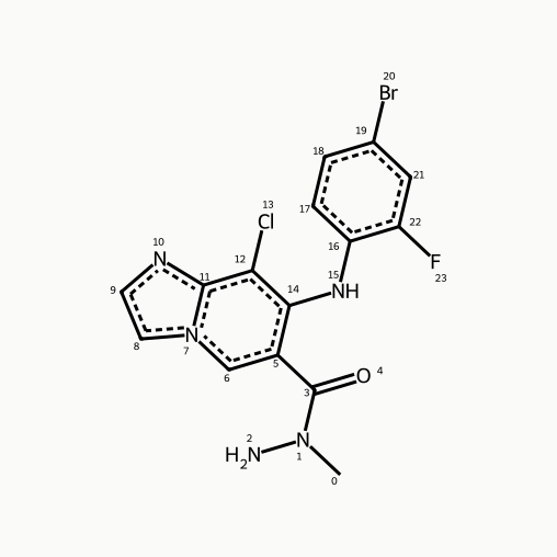 CN(N)C(=O)c1cn2ccnc2c(Cl)c1Nc1ccc(Br)cc1F